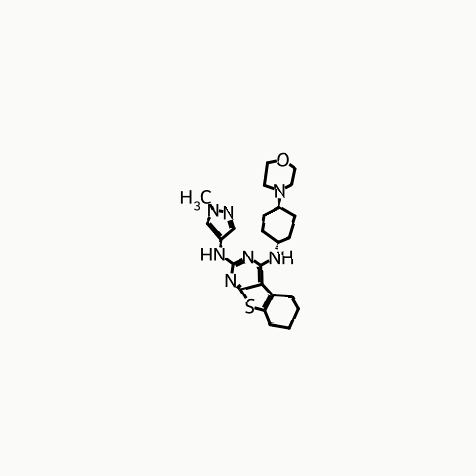 Cn1cc(Nc2nc(N[C@H]3CC[C@H](N4CCOCC4)CC3)c3c4c(sc3n2)CCCC4)cn1